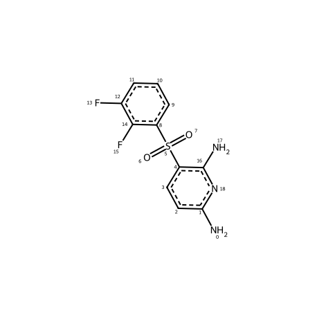 Nc1ccc(S(=O)(=O)c2cccc(F)c2F)c(N)n1